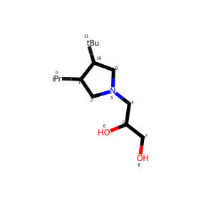 CC(C)C1CN(CC(O)CO)CC1C(C)(C)C